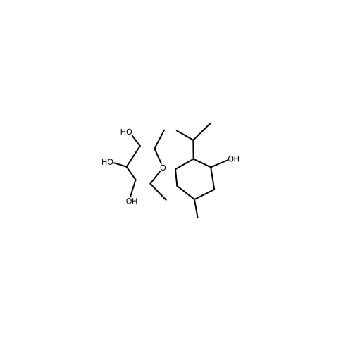 CC1CCC(C(C)C)C(O)C1.CCOCC.OCC(O)CO